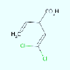 C=CC(C=C(Cl)Cl)C(=O)O